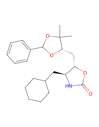 CC1(C)OC(c2ccccc2)O[C@H]1C[C@@H]1OC(=O)N[C@H]1CC1CCCCC1